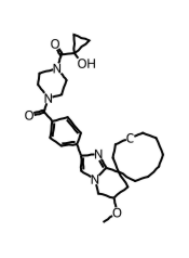 COC1Cn2cc(-c3ccc(C(=O)N4CCN(C(=O)C5(O)CC5)CC4)cc3)nc2C2(CCCCCCCCC2)C1